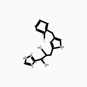 OC(Cc1cc(Cc2ccccc2F)c[nH]1)C(O)c1nc[nH]n1